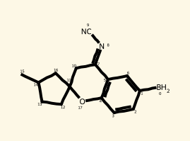 Bc1ccc2c(c1)/C(=N/C#N)CC1(CCC(C)C1)O2